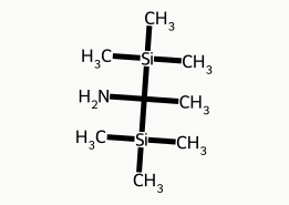 CC(N)([Si](C)(C)C)[Si](C)(C)C